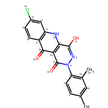 Cc1ccc(-n2nc(O)c3[nH]c4cc(Cl)ccc4c(=O)c3c2=O)c(C)c1